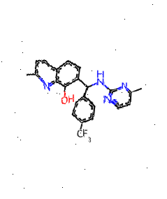 Cc1ccnc(NC(c2ccc(C(F)(F)F)cc2)c2ccc3ccc(C)nc3c2O)n1